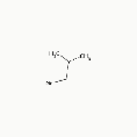 CC(C)[CH2][Ni]